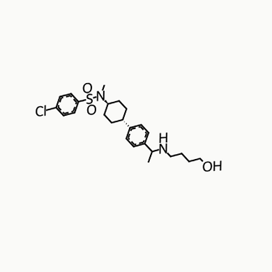 CC(NCCCCO)c1ccc([C@H]2CC[C@H](N(C)S(=O)(=O)c3ccc(Cl)cc3)CC2)cc1